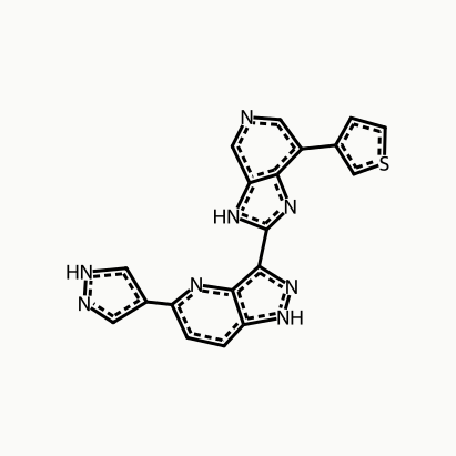 c1cc(-c2cncc3[nH]c(-c4n[nH]c5ccc(-c6cn[nH]c6)nc45)nc23)cs1